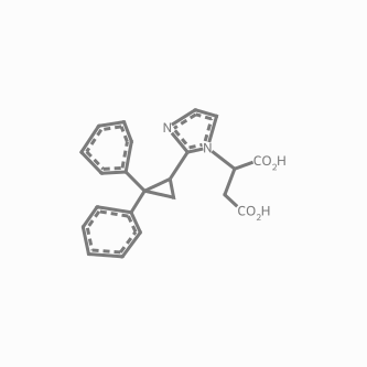 O=C(O)CC(C(=O)O)n1ccnc1C1CC1(c1ccccc1)c1ccccc1